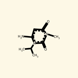 CC(C)n1c(N)cc(=O)n(C)c1=O